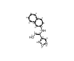 ON=C(Nc1ccc2ccccc2c1)c1cnon1